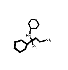 NCCC(N)(NC1CCCCC1)C1CCCCC1